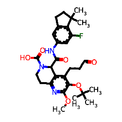 COc1nc2c(c(CCC=O)c1OC(C)(C)C)C(C(=O)Nc1cc(F)c3c(c1)CCC3(C)C)N(C(=O)O)CC2